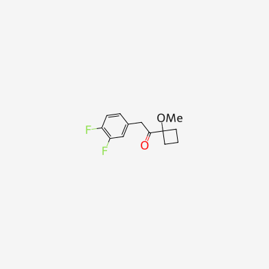 COC1(C(=O)Cc2ccc(F)c(F)c2)CCC1